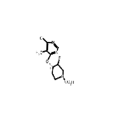 Cc1c(Cl)ncnc1O[C@H]1CCN(C(=O)O)CC1F